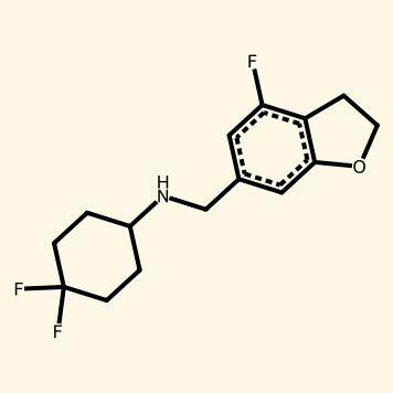 Fc1cc(CNC2CCC(F)(F)CC2)cc2c1CCO2